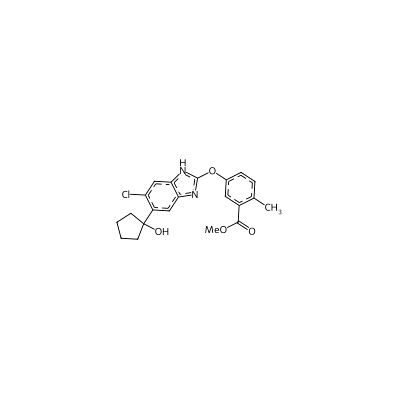 COC(=O)c1cc(Oc2nc3cc(C4(O)CCCC4)c(Cl)cc3[nH]2)ccc1C